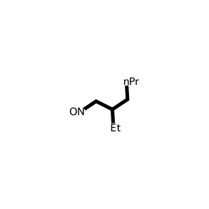 CCCCC(CC)CN=O